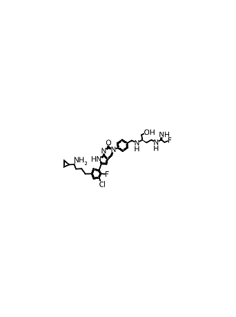 N=C(CF)NCC[C@H](CO)NCc1ccc(-n2cc3cc(-c4cc(CCC[C@@H](N)C5CC5)cc(Cl)c4F)[nH]c3nc2=O)cc1